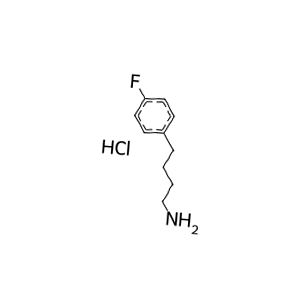 Cl.NCCCCc1ccc(F)cc1